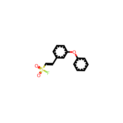 O=S(=O)(F)C=Cc1cccc(Oc2ccccc2)c1